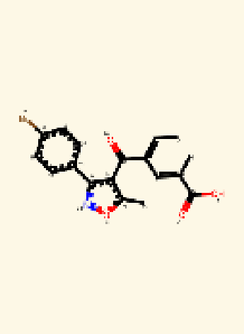 C/C=C(\C=C(/C)C(=O)O)C(=O)c1c(-c2ccc(Br)cc2)noc1C